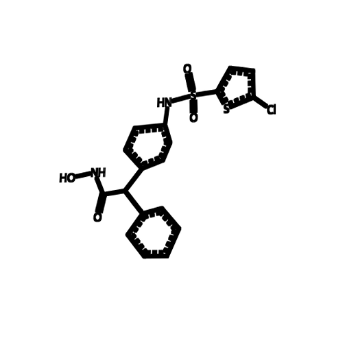 O=C(NO)C(c1ccccc1)c1ccc(NS(=O)(=O)c2ccc(Cl)s2)cc1